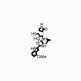 COc1cccc2[nH]c(C(=O)N[C@@H](CC3CC3)C(=O)N[C@@H](C[C@@H]3CCNC3=O)[C@@H](O)CS)cc12